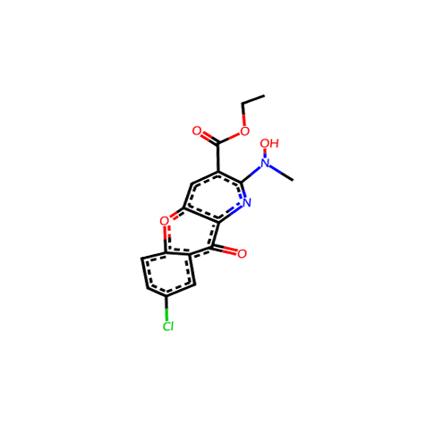 CCOC(=O)c1cc2oc3ccc(Cl)cc3c(=O)c2nc1N(C)O